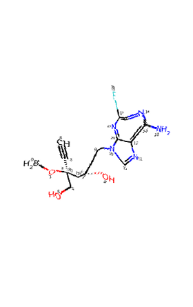 BO[C@](C#C)(CO)[C@@H](O)Cn1cnc2c(N)nc(F)nc21